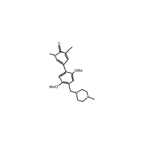 COc1cc(-c2cc(C)c(=O)n(C)c2)c(OC)cc1CN1CCN(C)CC1